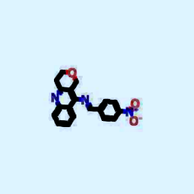 O=[N+]([O-])c1ccc(/C=N/c2c3c(nc4ccccc24)CCOC3)cc1